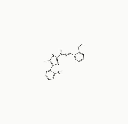 CCc1ccccc1/C=N/Nc1nc(-c2ccccc2Cl)c(C)s1